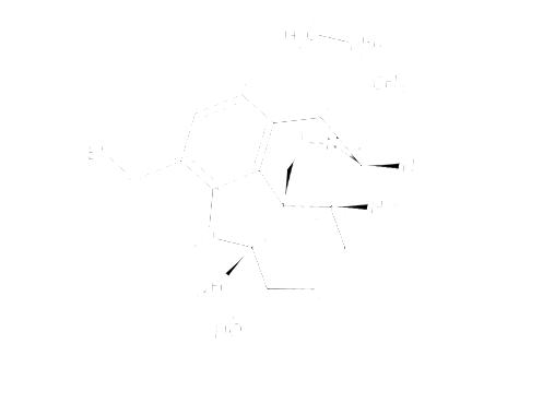 CCOc1ccc2c3c1O[C@H]1[C@@H](O)C=C[C@H]4[C@@H](C2)N(C)CC[C@@]341.[CH2]CCCC